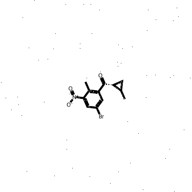 Cc1c(C(=O)[C@@H]2CC2C)cc(Br)cc1[N+](=O)[O-]